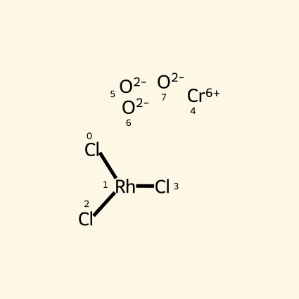 [Cl][Rh]([Cl])[Cl].[Cr+6].[O-2].[O-2].[O-2]